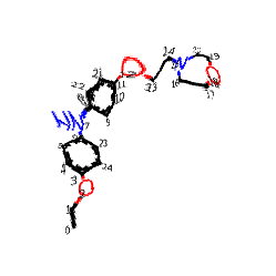 CCOc1ccc(Nc2ccc(OCCN3CCOCC3)cc2)cc1